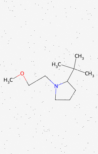 COCCN1CCCC1C(C)(C)C